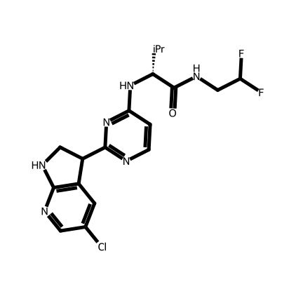 CC(C)[C@@H](Nc1ccnc(C2CNc3ncc(Cl)cc32)n1)C(=O)NCC(F)F